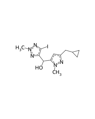 Cn1nc(I)c(C(O)c2cc(CC3CC3)nn2C)n1